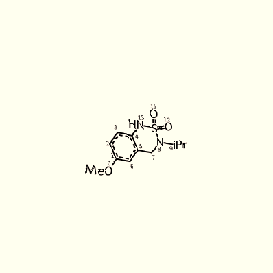 COc1ccc2c(c1)CN(C(C)C)S(=O)(=O)N2